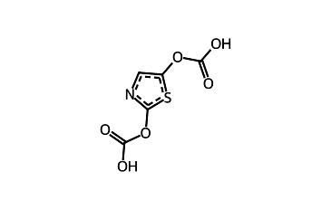 O=C(O)Oc1cnc(OC(=O)O)s1